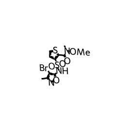 CON(C)C(=O)c1sccc1S(=O)(=O)Nc1onc(C)c1Br